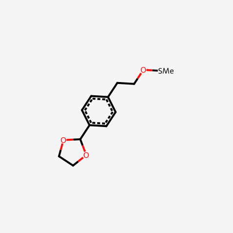 CSOCCc1ccc(C2OCCO2)cc1